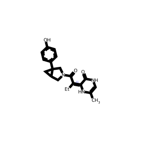 CC/C(C(=O)N1CC2CC2(c2ccc(O)cc2)C1)=C1\NC(C)=CNC1=O